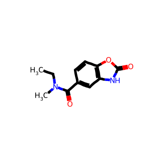 CCN(C)C(=O)c1ccc2oc(=O)[nH]c2c1